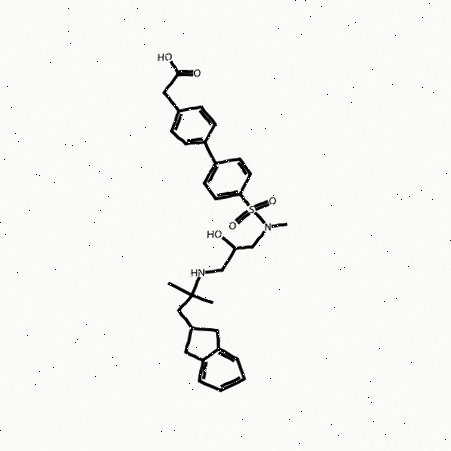 CN(CC(O)CNC(C)(C)CC1Cc2ccccc2C1)S(=O)(=O)c1ccc(-c2ccc(CC(=O)O)cc2)cc1